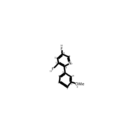 COc1[c]ccc(-c2ncc(F)cc2F)c1